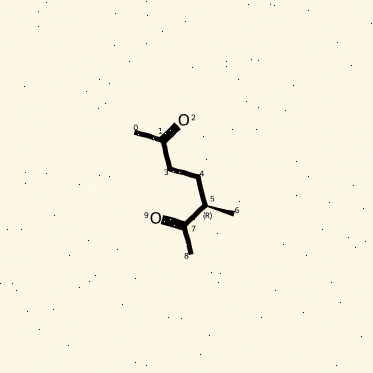 CC(=O)CC[C@@H](C)C(C)=O